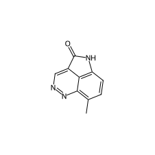 Cc1ccc2c3c(cnnc13)C(=O)N2